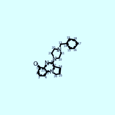 O=c1cccc2n3c(c(N4CCN(Cc5ccccc5)CC4)nc1-2)C=CC3